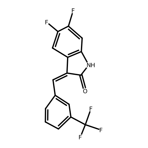 O=C1Nc2cc(F)c(F)cc2C1=Cc1cccc(C(F)(F)F)c1